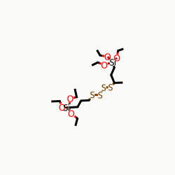 CCO[Si](CCCSSSSC(C)CC[Si](OCC)(OCC)OCC)(OCC)OCC